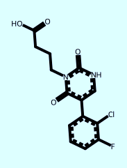 O=C(O)CCCn1c(=O)[nH]cc(-c2cccc(F)c2Cl)c1=O